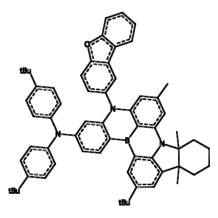 Cc1cc2c3c(c1)N1c4c(cc(C(C)(C)C)cc4C4(C)CCCCC14C)B3c1ccc(N(c3ccc(C(C)(C)C)cc3)c3ccc(C(C)(C)C)cc3)cc1N2c1ccc2oc3ccccc3c2c1